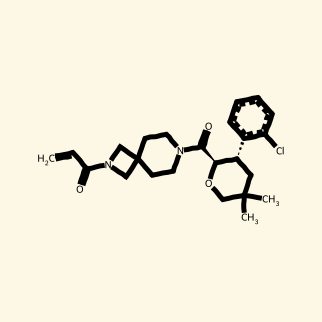 C=CC(=O)N1CC2(CCN(C(=O)[C@@H]3OCC(C)(C)C[C@H]3c3ccccc3Cl)CC2)C1